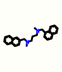 CN(CCCN(C)Cc1cccc2ccccc12)Cc1ccc2ccccc2c1